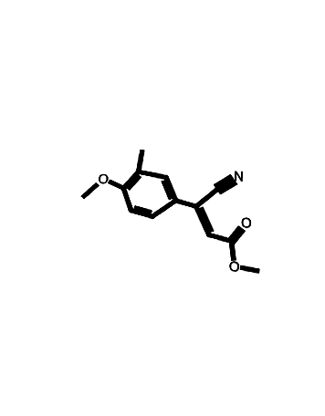 COC(=O)C=C(C#N)c1ccc(OC)c(C)c1